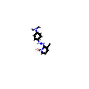 Cc1ccc[n+]([O-])c1/N=N/c1ccc(N(C)C)cc1